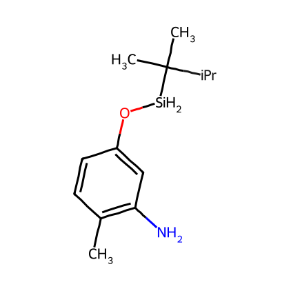 Cc1ccc(O[SiH2]C(C)(C)C(C)C)cc1N